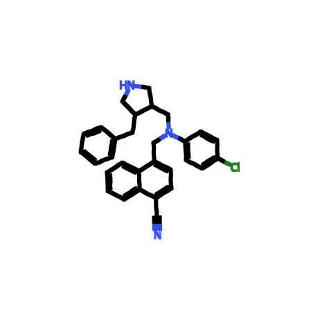 N#Cc1ccc(CN(CC2CNCC2Cc2ccccc2)c2ccc(Cl)cc2)c2ccccc12